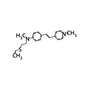 C=CSCCN(C)c1ccc(/C=C/c2cc[n+](C)cc2)cc1